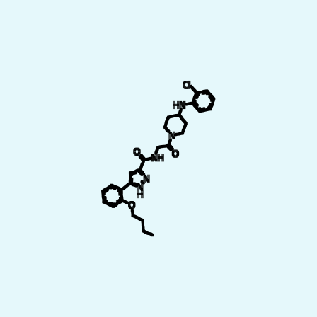 CCCCOc1ccccc1-c1cc(C(=O)NCC(=O)N2CCC(Nc3ccccc3Cl)CC2)n[nH]1